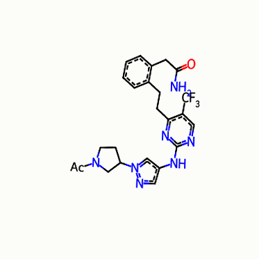 CC(=O)N1CCC(n2cc(Nc3ncc(C(F)(F)F)c(CCc4ccccc4CC(N)=O)n3)cn2)C1